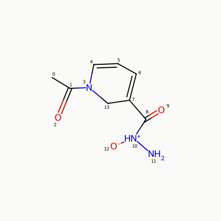 CC(=O)N1C=CC=C(C(=O)[NH+](N)[O-])C1